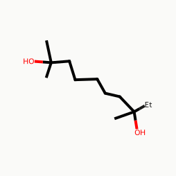 CCC(C)(O)CCCCCC(C)(C)O